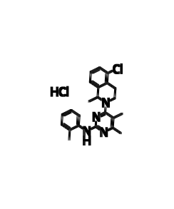 Cc1ccccc1Nc1nc(C)c(C)c(N2CCc3c(Cl)cccc3C2C)n1.Cl